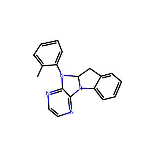 Cc1ccccc1N1c2nccnc2N2c3ccccc3CC12